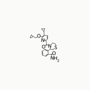 NC(=O)c1ccccc1C1CSCCN1C(=O)c1ccc(C2CC2)c(OCC2CC2)n1